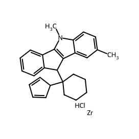 Cc1ccc2c(c1)c1c(n2C)-c2ccccc2C1C1(C2C=CC=C2)CCCCC1.Cl.[Zr]